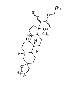 CCOC(=O)C(=[N+]=[N-])C1(O)CC[C@H]2[C@@H]3CC[C@H]4CC(OC)(OC)CC[C@@H]4[C@H]3CC[C@@]21C